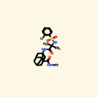 CC(C)NC(=O)C12CC3CC(CC(NC(=O)C(C)(C)NS(=O)(=O)c4ccccc4Cl)(C3)C1)C2